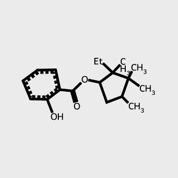 CCC1(C)C(OC(=O)c2ccccc2O)CC(C)C1(C)C